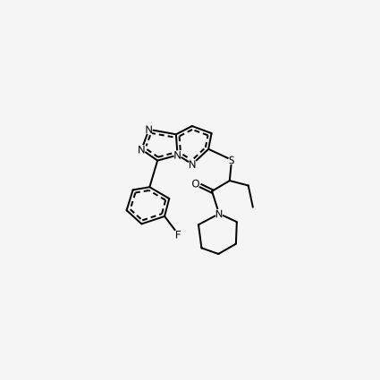 CCC(Sc1ccc2nnc(-c3cccc(F)c3)n2n1)C(=O)N1CCCCC1